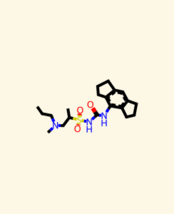 CCCN(C)CC(C)S(=O)(=O)NC(=O)Nc1c2c(cc3c1CCC3)CCC2